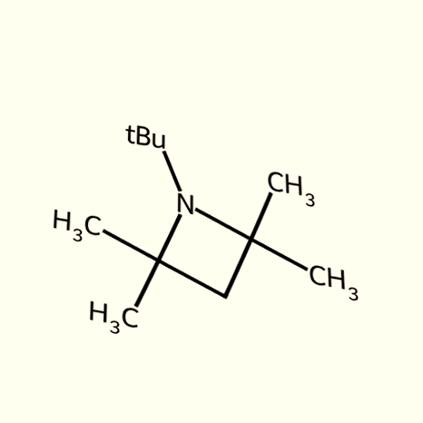 CC(C)(C)N1C(C)(C)CC1(C)C